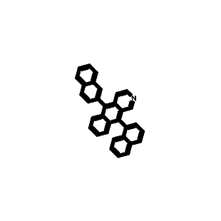 c1ccc2cc(-c3c4ccccc4c(-c4cccc5ccccc45)c4cnccc34)ccc2c1